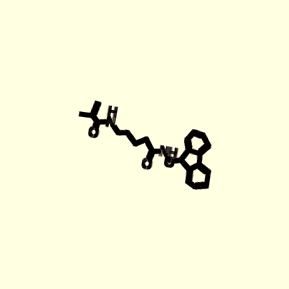 C=C(C)C(=O)NCCCCC(=O)NOC1c2ccccc2-c2ccccc21